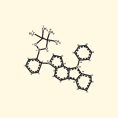 CC1(C)OB(c2ccccc2-n2ccc3c2ccc2c4ccccc4n(-c4ccccc4)c23)OC1(C)C